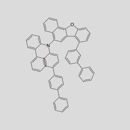 c1ccc(-c2ccc(-c3ccc(N(c4ccccc4-c4ccccc4)c4cc5c(oc6cccc(-c7cccc(-c8ccccc8)c7)c65)c5ccccc45)cc3)cc2)cc1